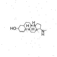 CNC1CC[C@H]2[C@@H]3CCC4CC(O)C=C[C@]4(C)[C@@H]3CC[C@]12C